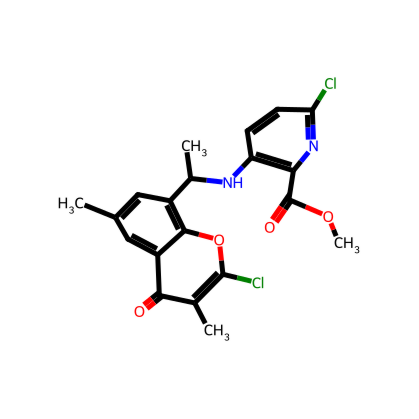 COC(=O)c1nc(Cl)ccc1NC(C)c1cc(C)cc2c(=O)c(C)c(Cl)oc12